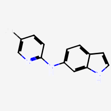 CC(C)(C)c1ccc(Nc2ccc3cc[nH]c3c2)nc1